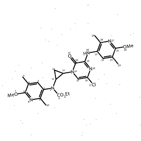 CCOC(=O)N(c1cc(C)c(OC)nc1C)C1CC1n1cc(Cl)nc(Nc2cc(C)c(OC)nc2C)c1=O